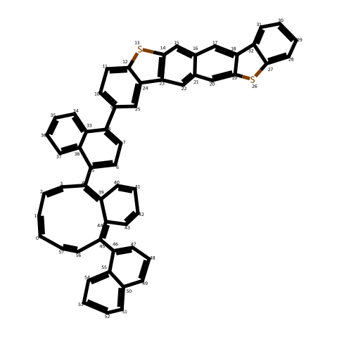 c1cccc(-c2ccc(-c3ccc4sc5cc6cc7c(cc6cc5c4c3)sc3ccccc37)c3ccccc23)c2ccccc2c(-c2cccc3ccccc23)cc1